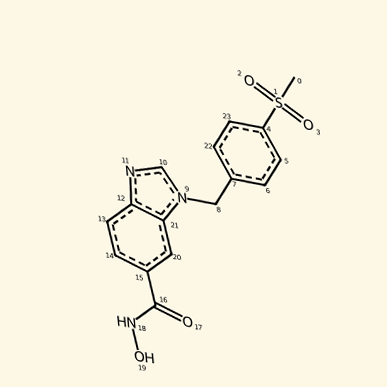 CS(=O)(=O)c1ccc(Cn2cnc3ccc(C(=O)NO)cc32)cc1